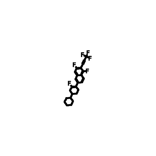 FC1=C(c2ccc3c(F)c(C#CC(F)(F)F)c(F)cc3c2)CCC(C2CCCCC2)C1